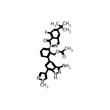 CC(=O)OCc1c(-c2cc(-c3cnn(C)c3)c3[nH]nc(N)c3c2)cccc1-n1ncc2cc(C(C)(C)C)cc(F)c2c1=O